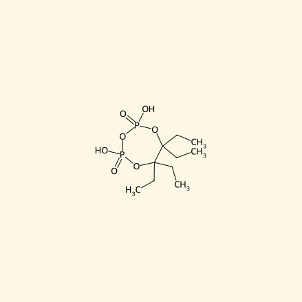 CCC1(CC)OP(=O)(O)OP(=O)(O)OC1(CC)CC